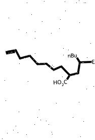 C=CCCCCCCC(CC(CC)CCCC)C(=O)O